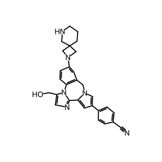 N#Cc1ccc(-c2cc3n(c2)Cc2cc(N4CC5(CCCNC5)C4)ccc2-n2c(CO)cnc2-3)cc1